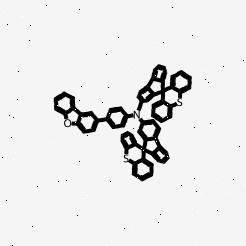 c1ccc2c(c1)Sc1ccccc1C21c2ccccc2-c2ccc(N(c3ccc(-c4ccc5oc6ccccc6c5c4)cc3)c3ccc4c(c3)C3(c5ccccc5Sc5ccccc53)c3ccccc3-4)cc21